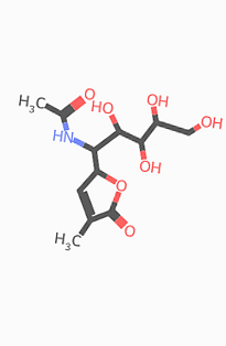 CC(=O)NC(C1C=C(C)C(=O)O1)C(O)C(O)C(O)CO